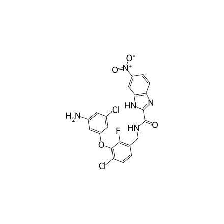 Nc1cc(Cl)cc(Oc2c(Cl)ccc(CNC(=O)c3nc4ccc([N+](=O)[O-])cc4[nH]3)c2F)c1